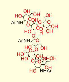 CC(=O)N[C@H]1[C@H](OC[C@H]2O[C@@H](O[C@H]3[C@H](O)[C@@H](O)C(O)O[C@@H]3CO)[C@H](O)[C@@H](O[C@@H]3O[C@H](CO)[C@@H](O)[C@H](O)[C@H]3NC(C)=O)[C@H]2O)O[C@H](CO)[C@@H](O[C@@H]2O[C@H](CO)[C@H](O)[C@H](O[C@]3(C(=O)O)C[C@H](O)[C@@H](NC(C)=O)[C@H]([C@H](O)[C@H](O)CO)O3)[C@H]2O)[C@@H]1O